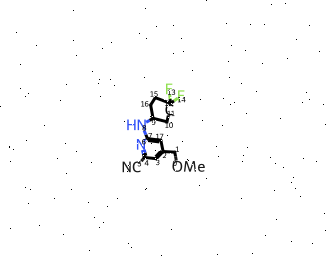 COCc1cc(C#N)nc(NC2CCC(F)(F)CC2)c1